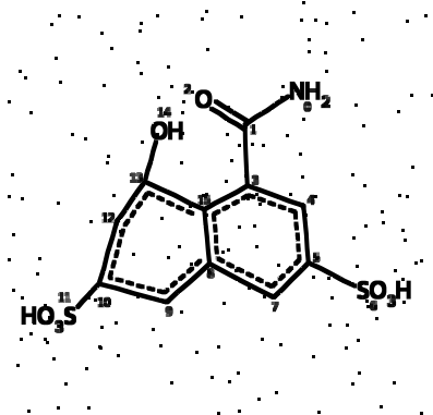 NC(=O)c1cc(S(=O)(=O)O)cc2cc(S(=O)(=O)O)cc(O)c12